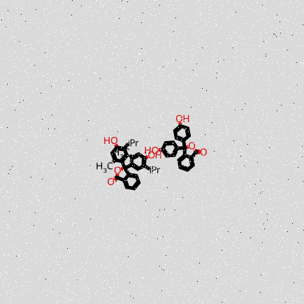 Cc1cc(O)c(C(C)C)cc1C1(c2cc(C(C)C)c(O)cc2C)OC(=O)c2ccccc21.O=C1OC(c2ccc(O)cc2)(c2ccc(O)cc2)c2ccccc21